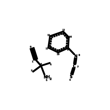 C#CC(C)(C)N.S=C=Nc1ccccc1